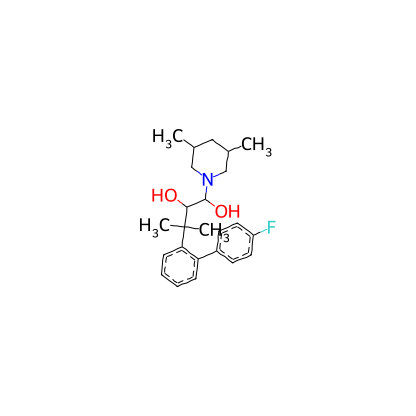 CC1CC(C)CN(C(O)C(O)C(C)(C)c2ccccc2-c2ccc(F)cc2)C1